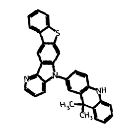 CC1(C)c2ccccc2Nc2ccc(-n3c4cc5sc6ccccc6c5cc4c4ncccc43)cc21